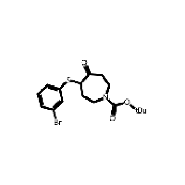 CC(C)(C)OC(=O)N1CCC(=O)C(Sc2cccc(Br)c2)CC1